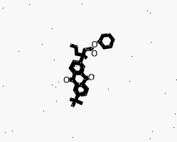 CCCC(C)(CC(=O)OC1CCCCC1)c1ccc2c(c1)C(=O)c1ccc(C(C)(C)C)cc1C2=O